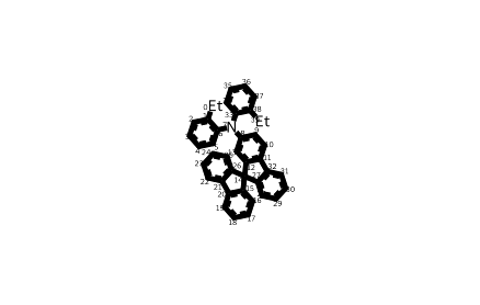 CCc1ccccc1N(c1ccc2c(c1)C1(c3ccccc3-c3ccccc31)c1ccccc1-2)c1ccccc1CC